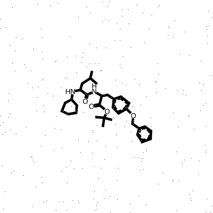 CC(C)CC(NC1CCCCC1)C(=O)NC(Cc1ccc(OCc2ccccc2)cc1)C(=O)OC(C)(C)C